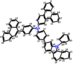 c1ccc(-c2ccc(N(c3ccc(-c4ccc5c6ccc7ccccc7c6n(-c6ccccc6)c5c4)cc3)c3ccc(-c4cc5ccccc5c5ccccc45)cc3)cc2-c2ccccc2)cc1